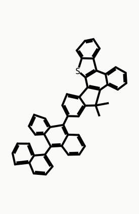 CC1(C)c2cc(-c3c4ccccc4c(-c4cccc5ccccc45)c4ccccc34)ccc2-c2c1c1ccccc1c1c2sc2ccccc21